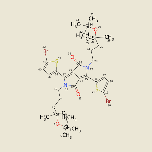 C[Si](C)(C)O[Si](C)(C)CCCN1C(=O)C2=C(c3ccc(Br)s3)N(CCC[Si](C)(C)O[Si](C)(C)C)C(=O)C2=C1c1ccc(Br)s1